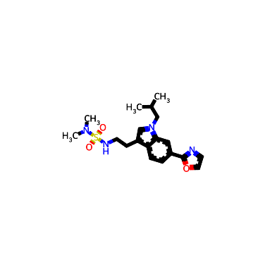 CC(C)Cn1cc(CCNS(=O)(=O)N(C)C)c2ccc(-c3ncco3)cc21